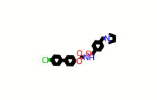 O=C(NOCc1ccc(CN2CCCC2)cc1)Oc1ccc(-c2ccc(Cl)cc2)cc1